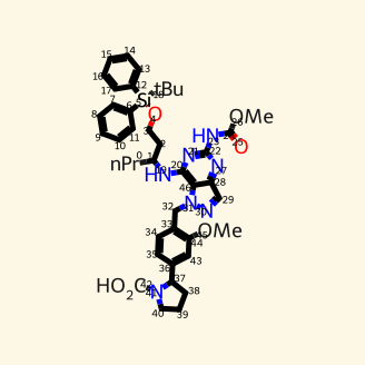 CCCC(CCO[Si](c1ccccc1)(c1ccccc1)C(C)(C)C)Nc1nc(NC(=O)OC)nc2cnn(Cc3ccc(C4CCCN4C(=O)O)cc3OC)c12